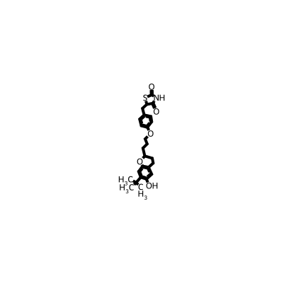 CC(C)(C)c1cc2c(cc1O)CCC(CCCOc1ccc(CC3SC(=O)NC3=O)cc1)O2